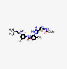 COC(=O)Nc1ncc(C2=CN(c3cc(C(=O)Nc4cc(N(C)CCN(C)C)cc(C(F)(F)F)c4)ccc3C)NN2)s1